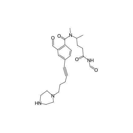 CC(CCC(=O)NC=O)N(C)C(=O)c1ccc(C#CCCCN2CCNCC2)cc1C=O